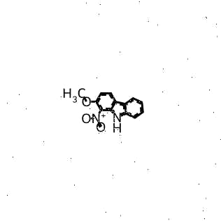 COc1ccc2c([nH]c3ccccc32)c1[N+](=O)[O-]